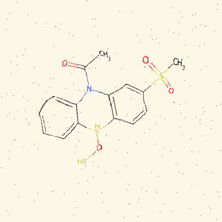 CC(=O)N1c2ccccc2[SH](OS)c2ccc(S(C)(=O)=O)cc21